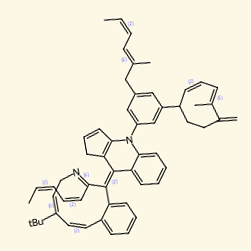 C=C1CCC(c2cc(C/C(C)=C/C=C\C)cc(N3C4=C(CC=C4)\C(=C4C(/C=C\C=C/C)=N/C/C=C(C(C)(C)C)\C=C/c5ccccc5/4)c4ccccc43)c2)/C=C\C=C\1C